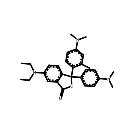 CCN(CC)c1ccc2c(c1)C(=O)OC2(c1ccc(N(C)C)cc1)c1ccc(N(C)C)cc1C